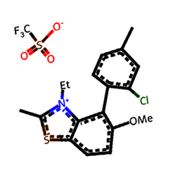 CC[n+]1c(C)sc2ccc(OC)c(-c3ccc(C)cc3Cl)c21.O=S(=O)([O-])C(F)(F)F